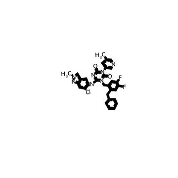 Cc1cncc(-n2c(=O)nc(Nc3cc4cn(C)nc4cc3Cl)n(Cc3cc(F)c(F)cc3Cc3ccccc3)c2=O)c1